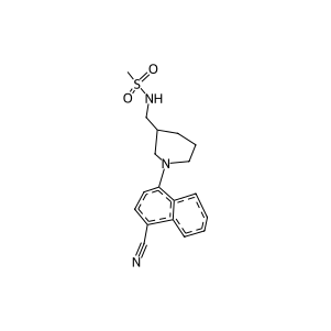 CS(=O)(=O)NCC1CCCN(c2ccc(C#N)c3ccccc23)C1